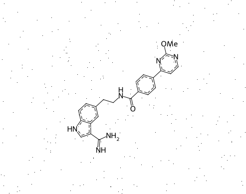 COc1nccc(-c2ccc(C(=O)NCCc3ccc4[nH]cc(C(=N)N)c4c3)cc2)n1